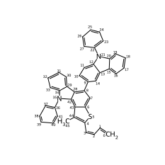 C=C/C=C\c1sc2cc(-c3ccc4c(c3)c3ccccc3n4-c3ccccc3)c3c4ccccc4n(-c4ccccc4)c3c2c1C